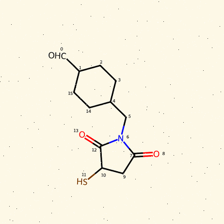 O=CC1CCC(CN2C(=O)CC(S)C2=O)CC1